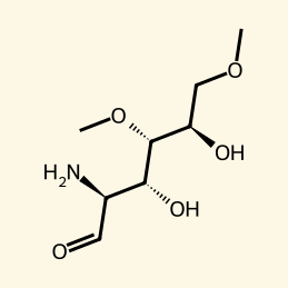 COC[C@@H](O)[C@@H](OC)[C@H](O)[C@H](N)C=O